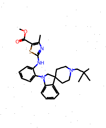 COC(=O)c1sc(Nc2ccccc2N2CC3(CCN(CC(C)(C)C)CC3)c3ccccc32)nc1C